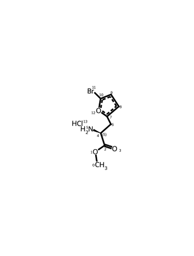 COC(=O)[C@@H](N)Cc1ccc(Br)o1.Cl